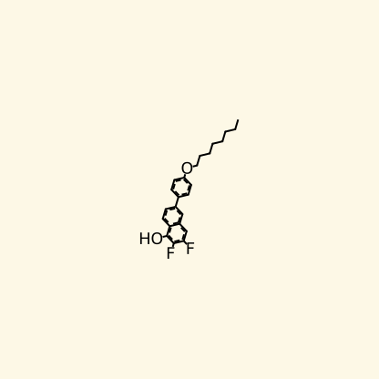 CCCCCCCCOc1ccc(-c2ccc3c(O)c(F)c(F)cc3c2)cc1